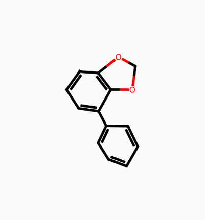 [c]1ccc(-c2ccccc2)c2c1OCO2